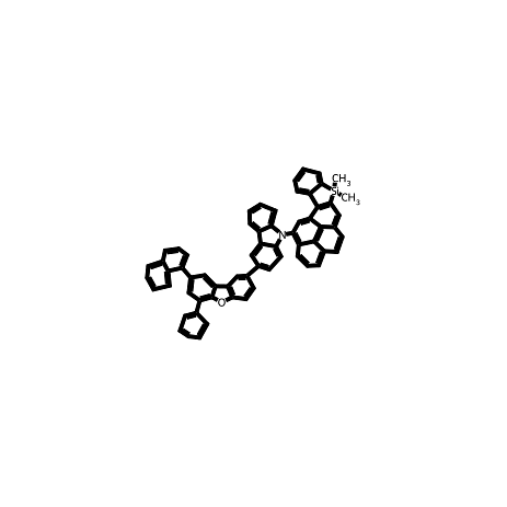 C[Si]1(C)c2ccccc2-c2c1cc1ccc3cccc4c(-n5c6ccccc6c6cc(-c7ccc8oc9c(-c%10ccccc%10)cc(-c%10cccc%11ccccc%10%11)cc9c8c7)ccc65)cc2c1c34